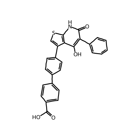 O=C(O)c1ccc(-c2ccc(-c3csc4[nH]c(=O)c(-c5ccccc5)c(O)c34)cc2)cc1